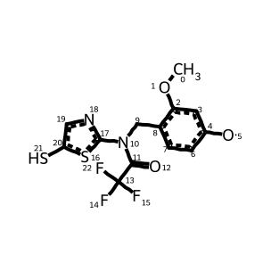 COc1cc([O])ccc1CN(C(=O)C(F)(F)F)c1ncc(S)s1